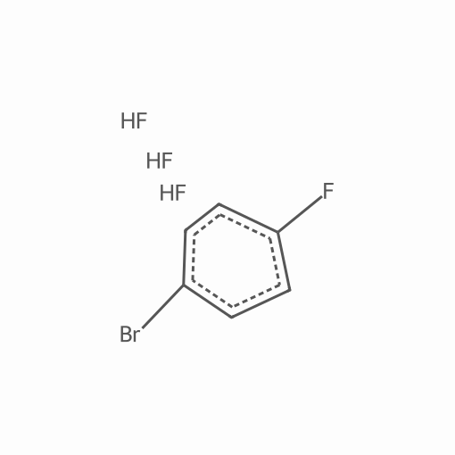 F.F.F.Fc1ccc(Br)cc1